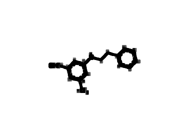 O=Cc1cc(OCCc2ccccc2)cc(C(F)(F)F)c1